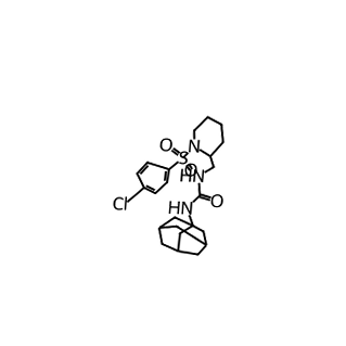 O=C(NCC1CCCCN1S(=O)(=O)c1ccc(Cl)cc1)NC12CC3CC(CC(C3)C1)C2